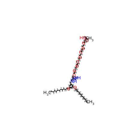 CCCCCCCCCCCCOc1cc(CN/C=C(/COCCOCCOCCOCCOCCOCCOCCOCCP(C)(=O)O)N=N)cc(OCCCCCCCCCCCC)c1